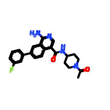 CC(=O)N1CCC(NC(=O)c2cnc(N)c3cc(-c4cccc(F)c4)ccc23)CC1